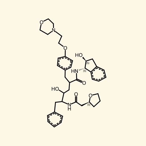 O=C(C[C@@H]1CCCO1)NC(Cc1ccccc1)C(O)CC(Cc1ccc(OCCN2CCOCC2)cc1)C(=O)N[C@H]1c2ccccc2C[C@@H]1O